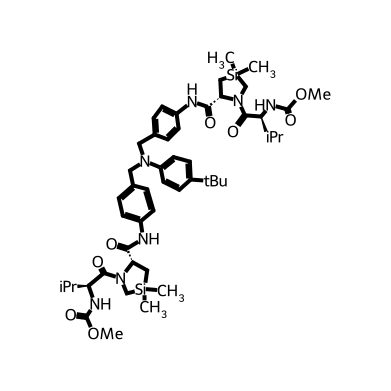 COC(=O)N[C@H](C(=O)N1C[Si](C)(C)C[C@H]1C(=O)Nc1ccc(CN(Cc2ccc(NC(=O)[C@@H]3C[Si](C)(C)CN3C(=O)[C@@H](NC(=O)OC)C(C)C)cc2)c2ccc(C(C)(C)C)cc2)cc1)C(C)C